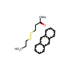 COC(=O)CCSSCCC(=O)O.c1ccc2cc3ccccc3cc2c1